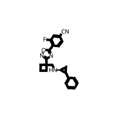 N#Cc1ccc(-c2nc(C3(CN[C@H]4CC4c4ccccc4)CCC3)no2)c(F)c1